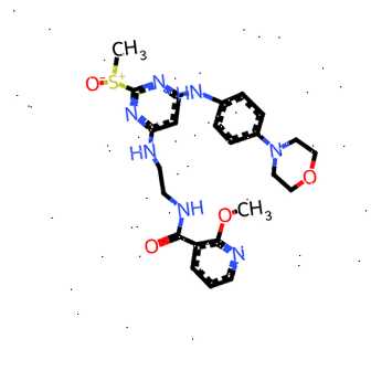 COc1ncccc1C(=O)NCCNc1cc(Nc2ccc(N3CCOCC3)cc2)nc([S+](C)[O-])n1